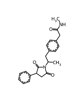 CNC(=O)Cc1ccc(CC(C)N2C(=O)CC(c3ccccc3)C2=O)cc1